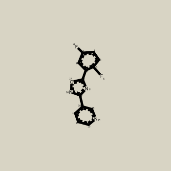 Fc1ccc(F)c(-c2nc(-c3cccnc3)no2)c1